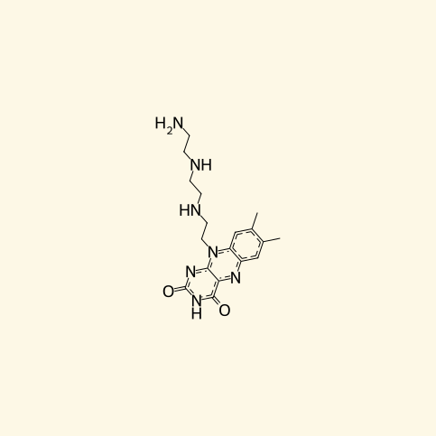 Cc1cc2nc3c(=O)[nH]c(=O)nc-3n(CCNCCNCCN)c2cc1C